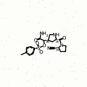 Cc1ccc(S(=O)(=O)OC(C(N)=O)[C@H]2CN[C@H](C(=O)N3CCC[C@H]3C#N)C2)cc1